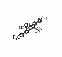 Cc1ccc(-c2ccc3c(c2)C(=C(C#N)C#N)C2C=C4C(=CC32)C(=C(C#N)C#N)c2cc(-c3ccc(C(F)(F)F)cc3)ccc24)cc1